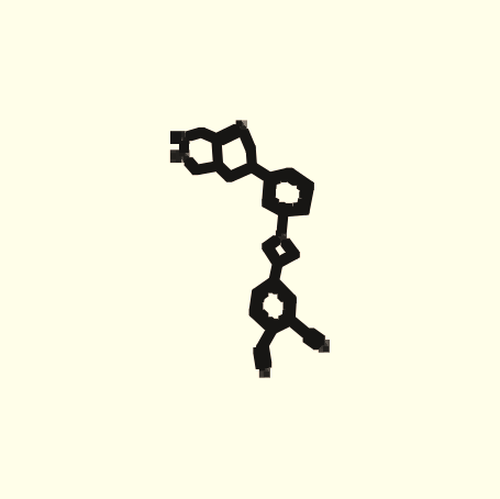 N#Cc1ccc(C2CN(c3cccc(C4CN=C5CNNCC5C4)c3)C2)cc1C#N